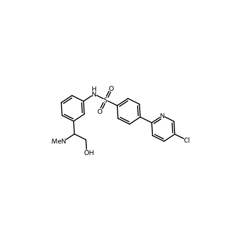 CNC(CO)c1cccc(NS(=O)(=O)c2ccc(-c3ccc(Cl)cn3)cc2)c1